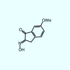 COc1ccc2c(c1)C(=O)/C(=N/O)C2